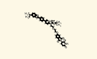 CN(C)c1ccc2nc(-c3ccc(-c4ccc(N(CCOCCOc5ccc6c(c5)C(=O)N(C5CCC(=O)NC5=O)C6=O)C(=O)OC(C)(C)C)nc4)cc3)sc2c1